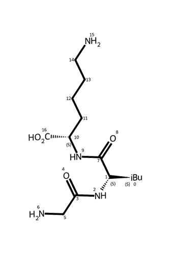 CC[C@H](C)[C@H](NC(=O)CN)C(=O)N[C@@H](CCCCN)C(=O)O